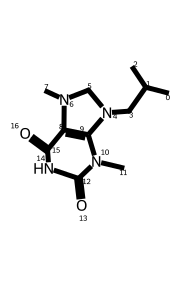 CC(C)CN1CN(C)c2c1n(C)c(=O)[nH]c2=O